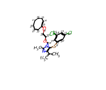 Cc1nc(C(C)C)c(Sc2cc(Cl)cc(Cl)c2)n1COCCO/C1=C/CCCCCC1